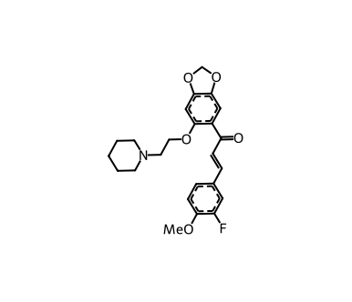 COc1ccc(/C=C/C(=O)c2cc3c(cc2OCCN2CCCCC2)OCO3)cc1F